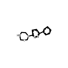 c1ccc(-c2ccc(N3CCCNCC3)nn2)cc1